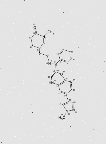 CN1C[C@@H](CCN[C@H](c2ccccc2)[C@@H]2CNc3cc(-c4cnn(C)c4)cnc3O2)CCC1=O